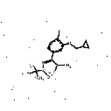 CC(C)/C(=N\[S+]([O-])C(C)(C)C)c1ccc(F)c(OCC2CC2)c1